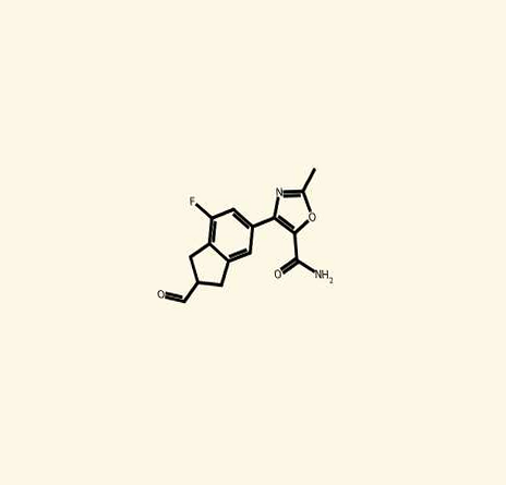 Cc1nc(-c2cc(F)c3c(c2)CC(C=O)C3)c(C(N)=O)o1